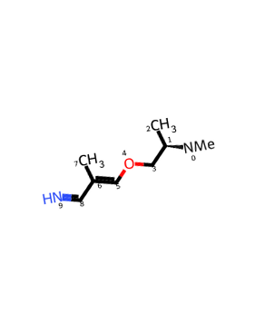 CN[C@H](C)CO/C=C(\C)C=N